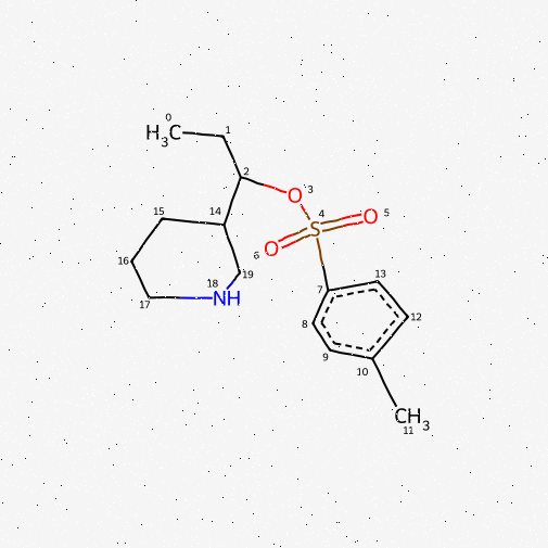 CCC(OS(=O)(=O)c1ccc(C)cc1)C1CCCNC1